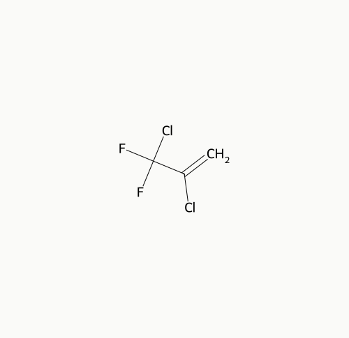 C=C(Cl)C(F)(F)Cl